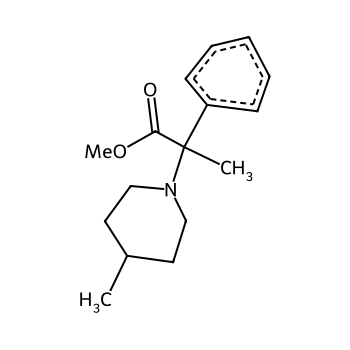 COC(=O)C(C)(c1ccccc1)N1CCC(C)CC1